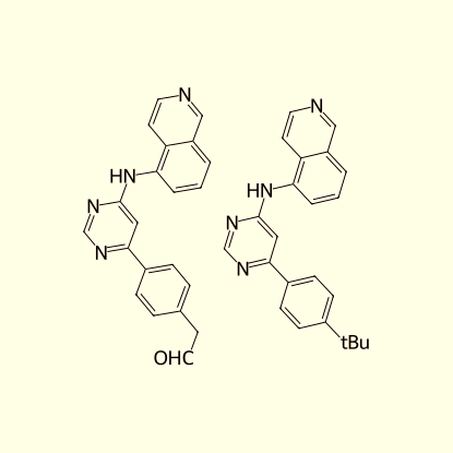 CC(C)(C)c1ccc(-c2cc(Nc3cccc4cnccc34)ncn2)cc1.O=CCc1ccc(-c2cc(Nc3cccc4cnccc34)ncn2)cc1